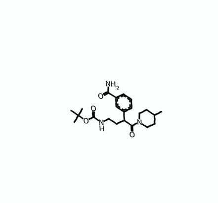 CC1CCN(C(=O)C(CCNC(=O)OC(C)(C)C)c2cccc(C(N)=O)c2)CC1